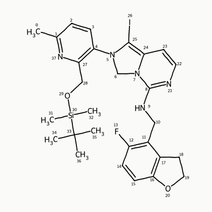 Cc1ccc(N2CN3C(NCc4c(F)ccc5c4CCO5)=NC=CC3=C2I)c(CO[Si](C)(C)C(C)(C)C)n1